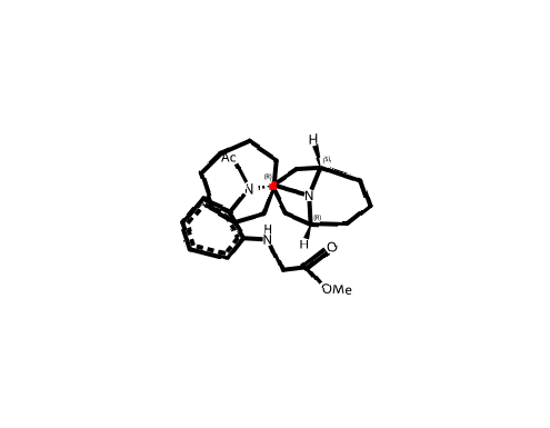 COC(=O)CNc1ccccc1N(C(C)=O)[C@H]1C[C@H]2CCC[C@@H](C1)N2C1CCCCCCC1